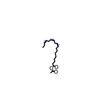 CC/C=C\C/C=C\C/C=C\CCCCCCCC(=O)OC(C)=O